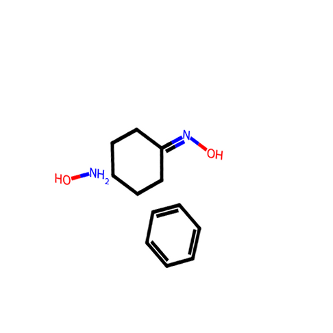 NO.ON=C1CCCCC1.c1ccccc1